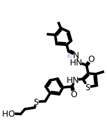 Cc1ccc(/C=N/NC(=O)c2c(C)csc2NC(=O)c2cccc(CSCCCO)c2)cc1C